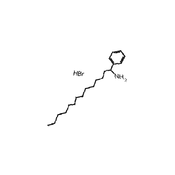 Br.CCCCCCCCCCCCCC(N)c1ccccc1